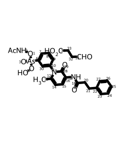 CC(=O)NO[As](=O)(OO)c1cccc(-n2c(C)ccc(NC(=O)CCc3ccccc3)c2=O)c1.O=CCCC(=O)O